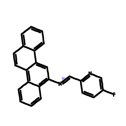 Fc1ccc(/C=N/c2cc3c4ccccc4ccc3c3ccccc23)nc1